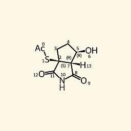 CC(=O)S[C@@]12CC[C@@H](O)[C@@H]1C(=O)NC2=O